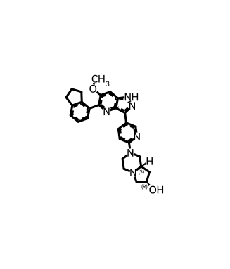 COc1cc2[nH]nc(-c3ccc(N4CCN5C[C@H](O)C[C@H]5C4)nc3)c2nc1-c1cccc2c1CCC2